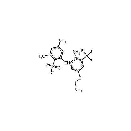 CCOc1cc[n+](N)c(C(F)(F)F)c1.Cc1cc(C)c(S(=O)(=O)[O-])c(C)c1